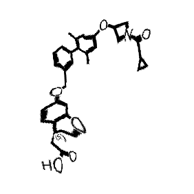 Cc1cc(OC2CN(C(=O)C3CC3)C2)cc(C)c1-c1cccc(COc2ccc3c(c2)OC[C@H]3CC(=O)O)c1